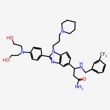 NC(=O)CC(NCc1cccc(C(F)(F)F)c1)c1ccc2c(c1)nc(-c1ccc(N(CCO)CCO)cc1)n2CCCN1CCCCC1